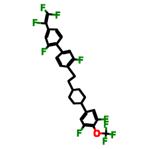 FC(F)=C(F)c1ccc(-c2ccc(CCC3CCC(c4cc(F)c(OC(F)(F)F)c(F)c4)CC3)c(F)c2)c(F)c1